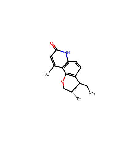 CC[C@@H]1COc2c(ccc3[nH]c(=O)cc(C(F)(F)F)c23)C1CC(F)(F)F